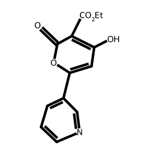 CCOC(=O)c1c(O)cc(-c2cccnc2)oc1=O